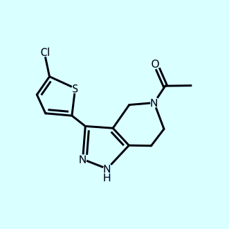 CC(=O)N1CCc2[nH]nc(-c3ccc(Cl)s3)c2C1